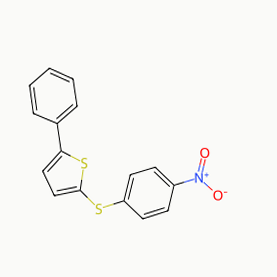 O=[N+]([O-])c1ccc(Sc2ccc(-c3ccccc3)s2)cc1